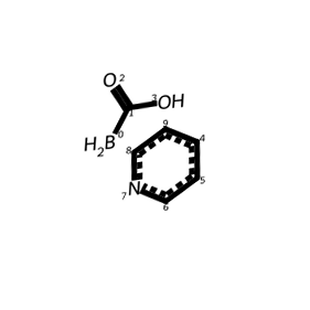 BC(=O)O.c1ccncc1